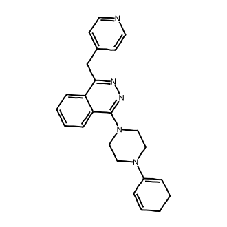 C1=CC(N2CCN(c3nnc(Cc4ccncc4)c4ccccc34)CC2)=CCC1